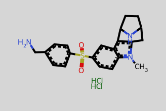 Cl.Cl.Cn1c2c(c3cc(S(=O)(=O)c4ccc(CN)cc4)ccc31)C1CCC(C2)N1